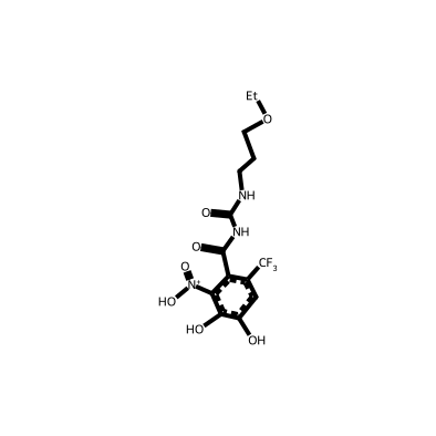 CCOCCCNC(=O)NC(=O)c1c(C(F)(F)F)cc(O)c(O)c1[N+](=O)O